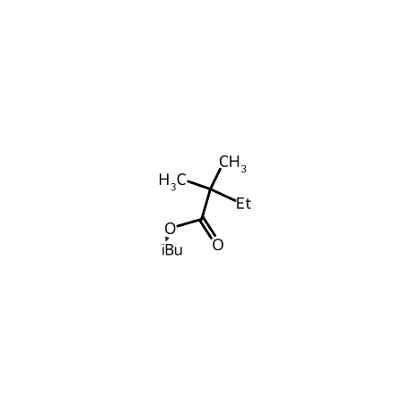 C[CH][C@@H](C)OC(=O)C(C)(C)CC